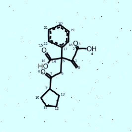 C=C(C(=O)O)C(CC(=O)C1CCCC1)(C(=O)O)c1ccccc1